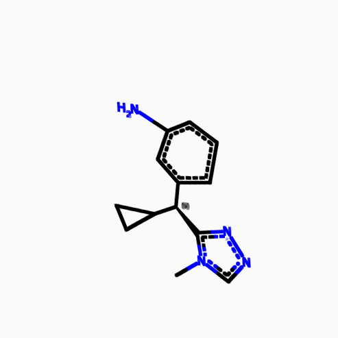 Cn1cnnc1[C@H](c1cccc(N)c1)C1CC1